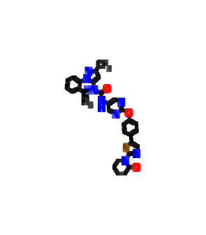 Cc1ccccc1-n1nc(C(F)(F)F)cc1NC(=O)Nc1cnc(Oc2ccc(-c3cnc(N4CCCCC4=O)s3)cc2)nc1